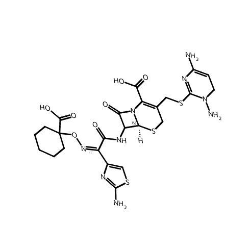 NC1=CCN(N)C(SCC2=C(C(=O)O)N3C(=O)C(NC(=O)/C(=N\OC4(C(=O)O)CCCCC4)c4csc(N)n4)[C@@H]3SC2)=N1